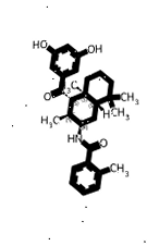 Cc1ccccc1C(=O)N[C@@H]1C[C@H]2C(C)(C)CCC[C@]2(C)[C@@H](C(=O)c2cc(O)cc(O)c2)[C@@H]1C